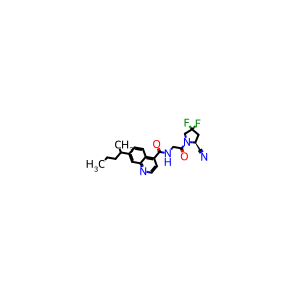 CCCC(C)c1ccc2c(C(=O)NCC(=O)N3CC(F)(F)C[C@H]3C#N)ccnc2c1